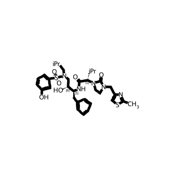 Cc1nc(CN2CCN([C@H](C(=O)N[C@@H](Cc3ccccc3)[C@H](O)CN(CC(C)C)S(=O)(=O)c3cccc(O)c3)C(C)C)C2=O)cs1